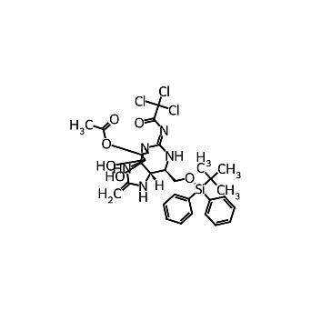 C=C1N[C@H]2[C@H](CO[Si](c3ccccc3)(c3ccccc3)C(C)(C)C)N/C(=N/C(=O)C(Cl)(Cl)Cl)N3CC(OC(C)=O)C(O)(O)C23N1